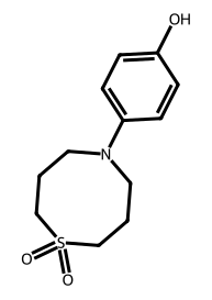 O=S1(=O)CCCN(c2ccc(O)cc2)CCC1